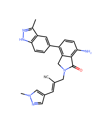 Cc1n[nH]c2ccc(-c3ccc(N)c4c3CN(C/C(C#N)=C/c3cnn(C)c3)C4=O)cc12